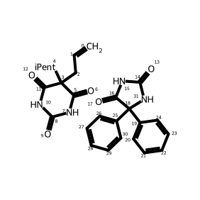 C=CCC1(C(C)CCC)C(=O)NC(=O)NC1=O.O=C1NC(=O)C(c2ccccc2)(c2ccccc2)N1